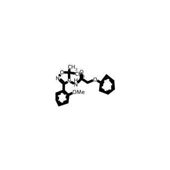 COc1ccccc1C1=NOC(C)(C)N1NC(=O)COc1ccccc1